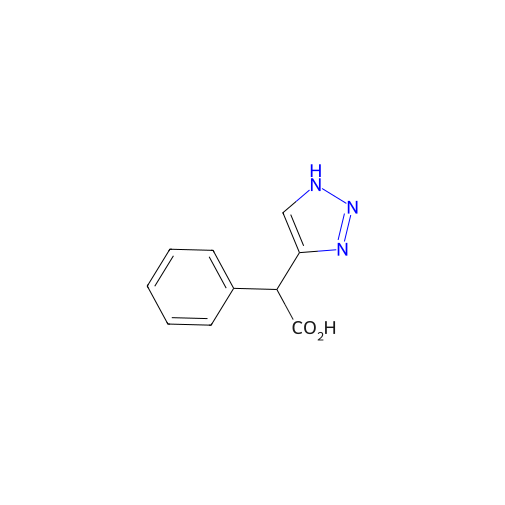 O=C(O)C(c1ccccc1)c1c[nH]nn1